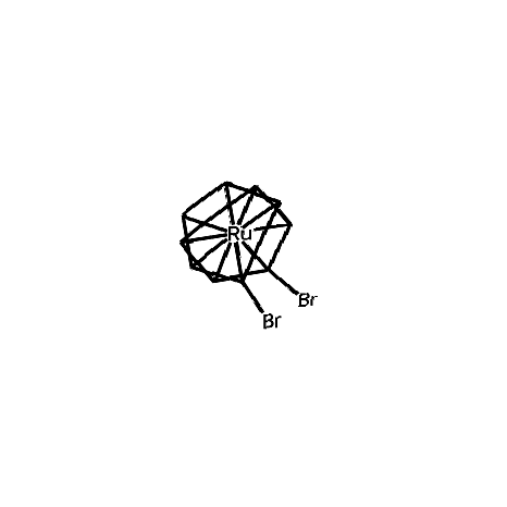 Br[C]12[CH]3[CH]4[CH]5[CH]1[Ru]45321678[CH]2[CH]1[CH]6[C]7(Br)[CH]28